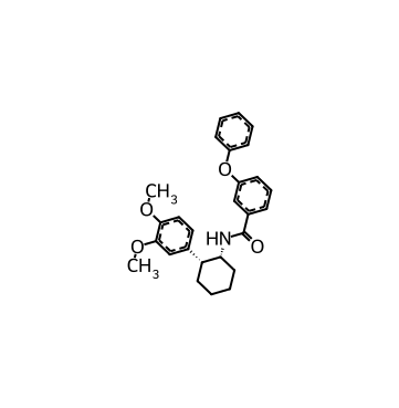 COc1ccc([C@H]2CCCC[C@H]2NC(=O)c2cccc(Oc3ccccc3)c2)cc1OC